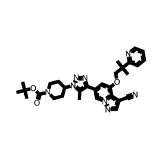 Cc1c(-c2cc(OCC(C)(C)c3ccccn3)c3c(C#N)cnn3c2)nnn1C1CCN(C(=O)OC(C)(C)C)CC1